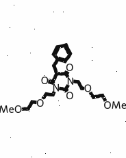 COCCOCCN1C(=O)C(Cc2ccccc2)C(=O)N(CCOCCOC)C1=O